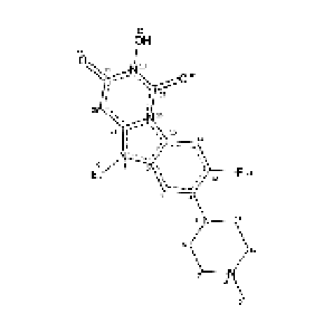 CCn1c2cc(N3CCN(C)CC3)c(F)cc2n2c(=O)n(O)c(=O)cc12